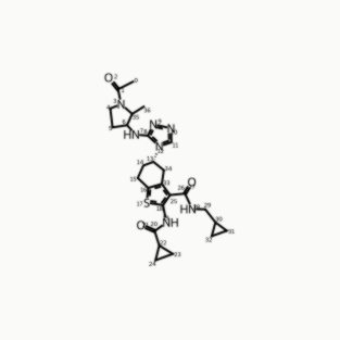 CC(=O)N1CCC(Nc2nncn2[C@H]2CCc3sc(NC(=O)C4CC4)c(C(=O)NCC4CC4)c3C2)C1C